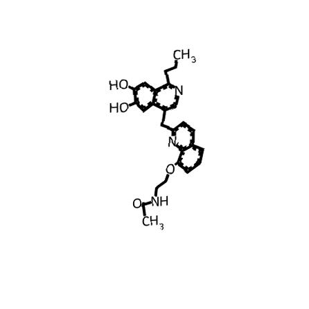 CCCc1ncc(Cc2ccc3cccc(OCCNC(C)=O)c3n2)c2cc(O)c(O)cc12